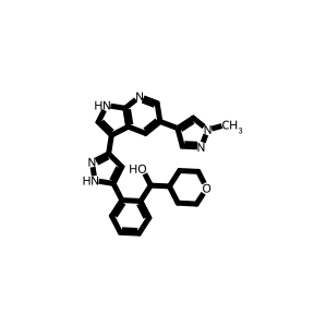 Cn1cc(-c2cnc3[nH]cc(-c4cc(-c5ccccc5C(O)C5CCOCC5)[nH]n4)c3c2)cn1